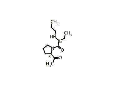 CCCN[C@@H](CC)C(=O)N1CCC[C@@H]1C(C)=O